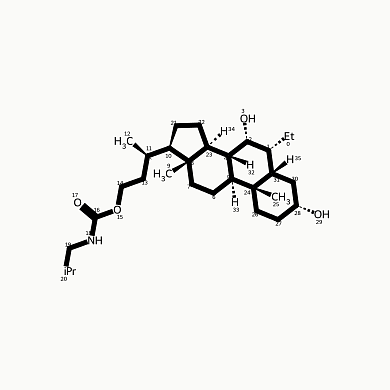 CC[C@H]1[C@@H](O)[C@@H]2[C@H](CC[C@]3(C)[C@@H]([C@H](C)CCOC(=O)NCC(C)C)CC[C@@H]23)[C@@]2(C)CC[C@@H](O)C[C@@H]12